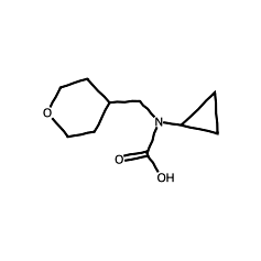 O=C(O)N(CC1CCOCC1)C1CC1